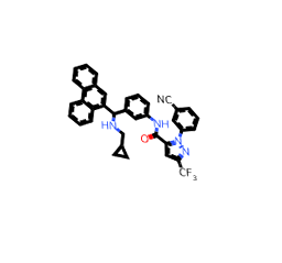 N#Cc1cccc(-n2nc(C(F)(F)F)cc2C(=O)Nc2cccc(C(NCC3CC3)c3cc4ccccc4c4ccccc34)c2)c1